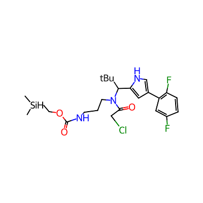 C[SiH](C)CCOC(=O)NCCCN(C(=O)CCl)C(c1cc(-c2cc(F)ccc2F)c[nH]1)C(C)(C)C